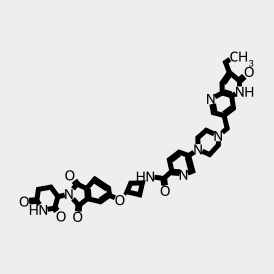 CCc1cc2ncc(CN3CCN(c4ccc(C(=O)N[C@H]5C[C@H](Oc6ccc7c(c6)C(=O)N(C6CCC(=O)NC6=O)C7=O)C5)nc4)CC3)cc2[nH]c1=O